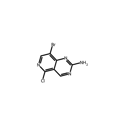 Nc1ncc2c(Cl)ncc(Br)c2n1